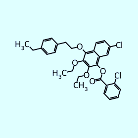 CCOc1c(OCC)c(OC(=O)c2ccccc2Cl)c2cc(Cl)ccc2c1OCCc1ccc(CC)cc1